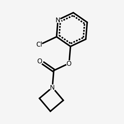 O=C(Oc1cccnc1Cl)N1CCC1